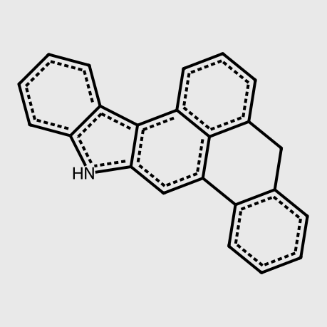 c1ccc2c(c1)Cc1cccc3c1c-2cc1[nH]c2ccccc2c13